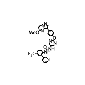 COc1ccn2ncc(-c3ccc(Oc4ncc(NC(=O)Nc5ccc(C(F)(F)F)cc5-c5cccnc5)cn4)cc3)c2n1